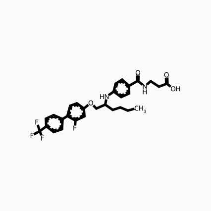 CCCCC(COc1ccc(-c2ccc(C(F)(F)F)cc2)c(F)c1)Nc1ccc(C(=O)NCCC(=O)O)cc1